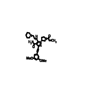 C=CC(=O)N1CC[C@H](n2nc(C#Cc3cc(OC)cc(OC)c3)c(C(N)=O)c2NCCN2CCCCC2)C1